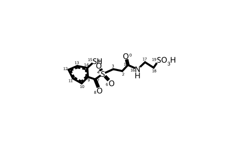 O=C(CCS(=O)(=O)C(=O)c1ccccc1S)NCCS(=O)(=O)O